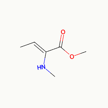 C/C=C(\NC)C(=O)OC